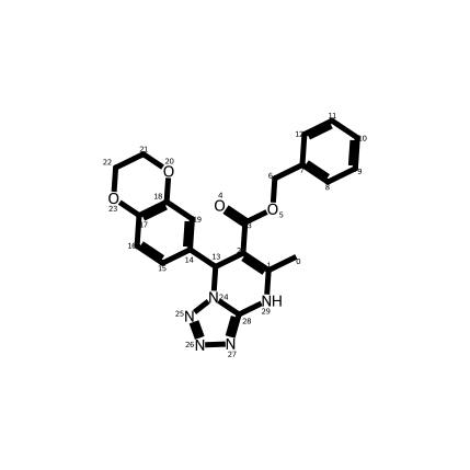 CC1=C(C(=O)OCc2ccccc2)C(c2ccc3c(c2)OCCO3)n2nnnc2N1